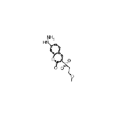 COCCS(=O)(=O)c1cc2ccc(NN)cc2oc1=O